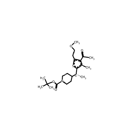 COCCc1sc([C@H](C)C2CCN(C(=O)OC(C)(C)C)CC2)c(C)c1C(C)=O